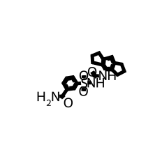 NC(=O)c1cccc(S(=O)(=O)NC(=O)Nc2c3c(cc4c2CCC4)CCC3)c1